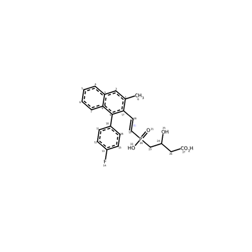 Cc1cc2ccccc2c(-c2ccc(F)cc2)c1/C=C/P(=O)(O)CC(O)CC(=O)O